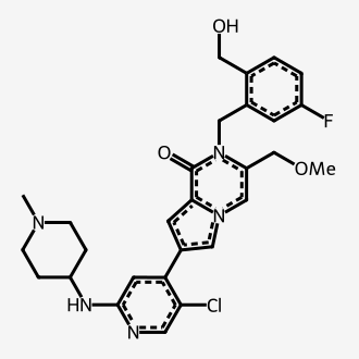 COCc1cn2cc(-c3cc(NC4CCN(C)CC4)ncc3Cl)cc2c(=O)n1Cc1cc(F)ccc1CO